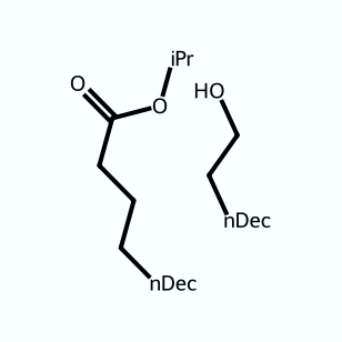 CCCCCCCCCCCCCC(=O)OC(C)C.CCCCCCCCCCCCO